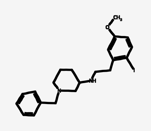 COc1ccc(I)c(CCNC2CCCN(Cc3ccccc3)C2)c1